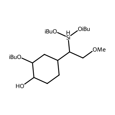 COCC(C1CCC(O)C(OCC(C)C)C1)[SiH](OCC(C)C)OCC(C)C